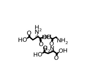 NCC(=O)O.N[C@@H](CC(=O)O)C(=O)O.N[C@@H](CC(=O)O)C(=O)O